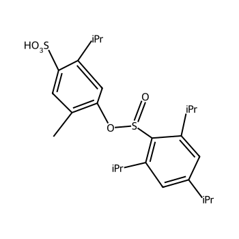 Cc1cc(S(=O)(=O)O)c(C(C)C)cc1OS(=O)c1c(C(C)C)cc(C(C)C)cc1C(C)C